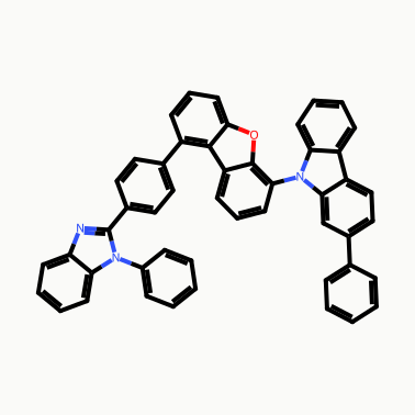 c1ccc(-c2ccc3c4ccccc4n(-c4cccc5c4oc4cccc(-c6ccc(-c7nc8ccccc8n7-c7ccccc7)cc6)c45)c3c2)cc1